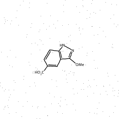 COc1n[nH]c2ccc(C(=O)O)cc12